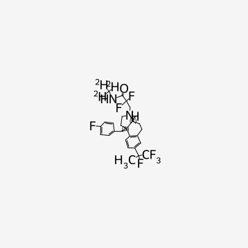 [2H]C([2H])([2H])NC(=O)C(F)(F)CN1CC[C@@]2(Cc3ccc(F)cc3)c3ccc(C(C)(F)C(F)(F)F)cc3CC[C@@H]12